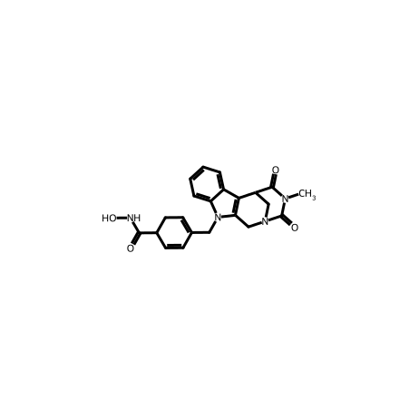 CN1C(=O)C2CN(Cc3c2c2ccccc2n3CC2=CCC(C(=O)NO)C=C2)C1=O